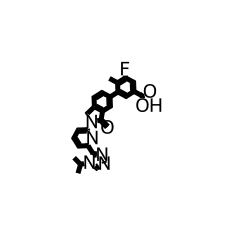 Cc1c(F)cc(C(=O)O)cc1-c1ccc2c(c1)C(=O)N(c1cccc(-c3nncn3C(C)C)n1)C2